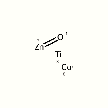 [Co].[O]=[Zn].[Ti]